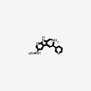 C=C(/C=c1\c(=C/N)[nH]c2ncc(NCCC)cc12)c1cccnc1